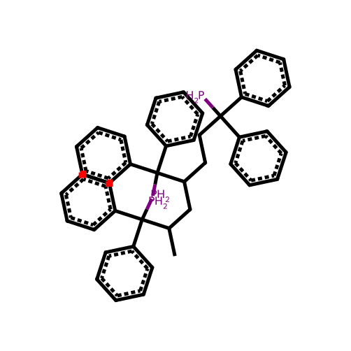 CC(CC(CCC(P)(c1ccccc1)c1ccccc1)C(P)(c1ccccc1)c1ccccc1)C(P)(c1ccccc1)c1ccccc1